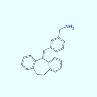 NCc1cccc(C=C2c3ccccc3CCc3ccccc32)c1